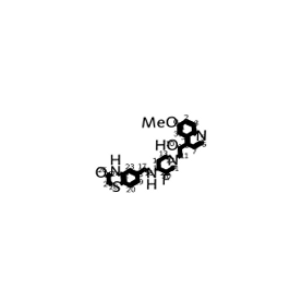 COc1ccc2nccc([C@@H](O)CN3CC[C@H](NCc4ccc5c(c4)NC(=O)CS5)[C@H](F)C3)c2c1